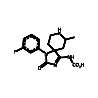 CC1CC2(CCN1)C(NC(=O)O)=NC(=O)N2c1cccc(F)c1